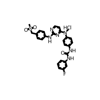 CN(c1ccc(NC(=O)Nc2cccc(F)c2)cc1)c1ccnc(Nc2ccc(CS(C)(=O)=O)cc2)n1.Cl